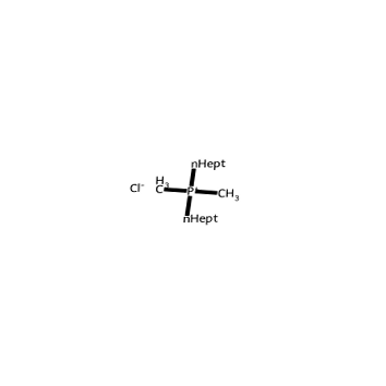 CCCCCCC[P+](C)(C)CCCCCCC.[Cl-]